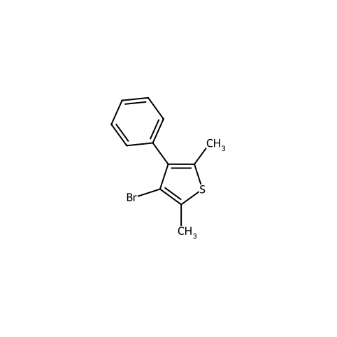 Cc1sc(C)c(-c2ccccc2)c1Br